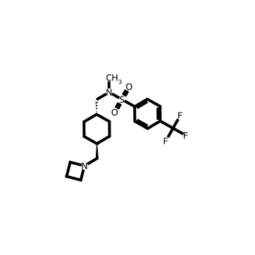 CN(C[C@H]1CC[C@H](CN2CCC2)CC1)S(=O)(=O)c1ccc(C(F)(F)F)cc1